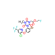 Cn1c(=O)n(CC(=O)OCCF)c(=O)n(-c2cc(Oc3ncc(C(F)(F)F)cc3Cl)ccc2Br)c1=O